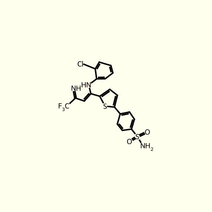 N=C(/C=C(\Nc1ccccc1Cl)c1ccc(-c2ccc(S(N)(=O)=O)cc2)s1)C(F)(F)F